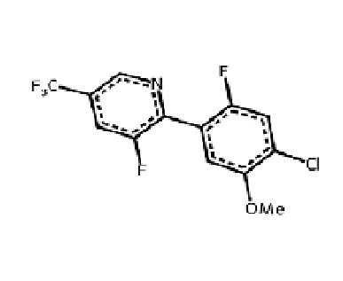 COc1cc(-c2ncc(C(F)(F)F)cc2F)c(F)cc1Cl